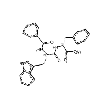 O=C(N[C@@H](Cc1c[nH]c2ccccc12)C(=O)N[C@H](Cc1ccccc1)C(=O)O)c1ccccc1